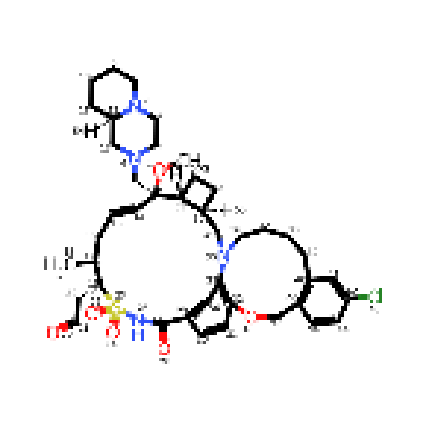 CO[C@]1(CN2CCN3CCCC[C@@H]3C2)/C=C/C[C@H](C)[C@@H](CC=O)S(=O)(=O)NC(=O)c2ccc3c(c2)N(CCCCc2cc(Cl)ccc2CO3)C[C@@H]2CC[C@H]21